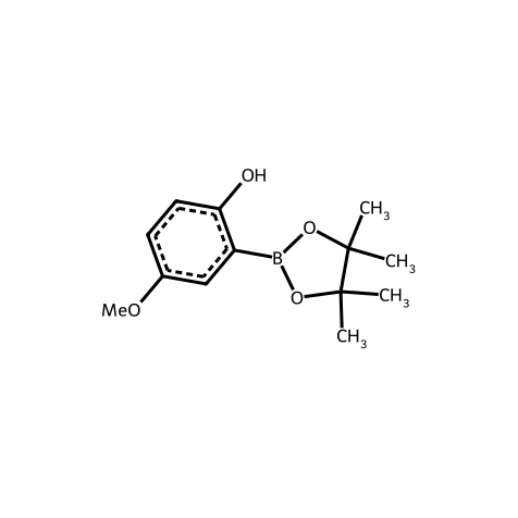 COc1ccc(O)c(B2OC(C)(C)C(C)(C)O2)c1